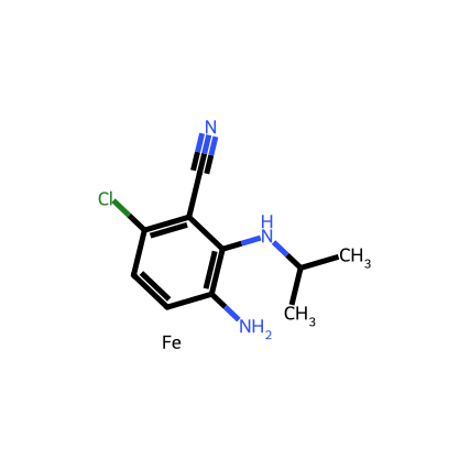 CC(C)Nc1c(N)ccc(Cl)c1C#N.[Fe]